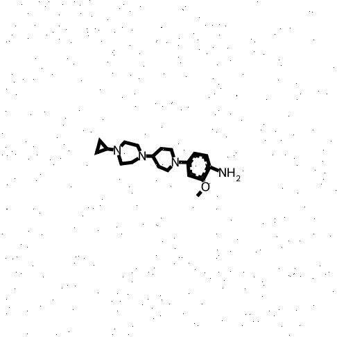 COc1cc(N2CCC(N3CCN(C4CC4)CC3)CC2)ccc1N